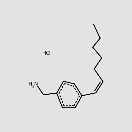 CCCCC/C=C\c1ccc(CN)cc1.Cl